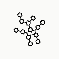 c1ccc(-c2ccc(N3c4ccc(-c5ccccc5)cc4B4c5cc(-c6ccccc6)ccc5N(c5ccc(-c6ccccc6)cc5)c5cc(-c6nc(-c7ccccc7)nc(-c7cccc(-c8ccccc8)c7)n6)cc3c54)cc2)cc1